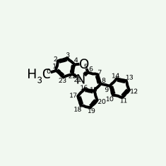 Cc1ccc2oc(C=C(c3ccccc3)c3ccccc3)nc2c1